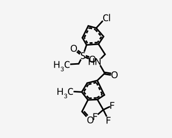 CCS(=O)(=O)c1ccc(Cl)cc1CNC(=O)c1cc(C)c(C=O)c(C(F)(F)F)c1